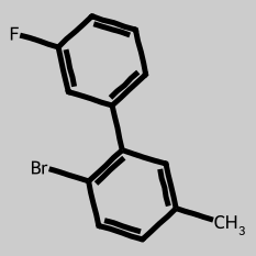 Cc1ccc(Br)c(-c2cccc(F)c2)c1